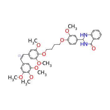 COc1cc(C2NC(=O)c3ccccc3N2)ccc1OCCCCOc1c(OC)cc(/C=C\c2cc(OC)c(OC)c(OC)c2)cc1OC